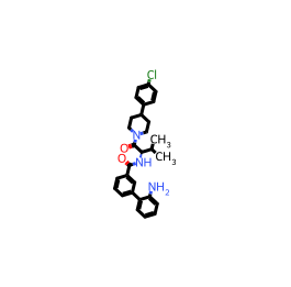 CC(C)[C@@H](NC(=O)c1cccc(-c2ccccc2N)c1)C(=O)N1CCC(c2ccc(Cl)cc2)CC1